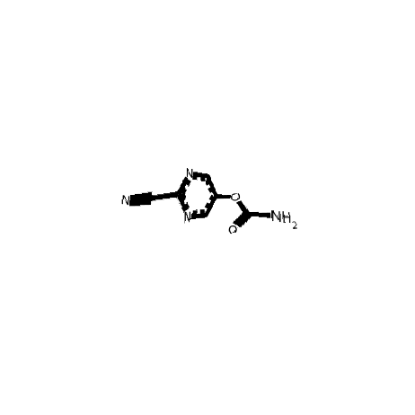 N#Cc1ncc(OC(N)=O)cn1